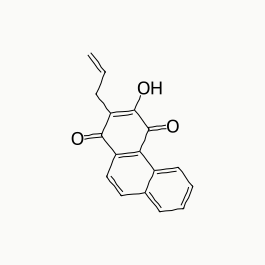 C=CCC1=C(O)C(=O)c2c(ccc3ccccc23)C1=O